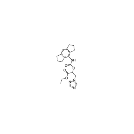 CCOC(=O)C(Cn1cncn1)OC(=O)Nc1c2c(cc3c1CCC3)CCC2